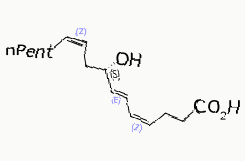 CCCCC/C=C\C[C@H](O)/C=C/C=C\CCC(=O)O